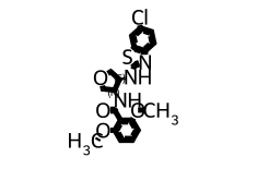 COc1cccc(OC)c1C(=O)N[C@H]1COC[C@H]1Nc1nc2ccc(Cl)cc2s1